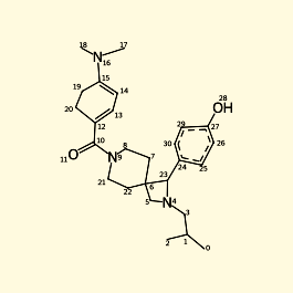 CC(C)CN1CC2(CCN(C(=O)C3=CC=C(N(C)C)CC3)CC2)C1c1ccc(O)cc1